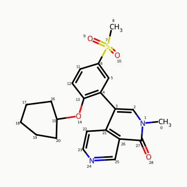 Cn1cc(-c2cc(S(C)(=O)=O)ccc2OC2CCCCC2)c2ccncc2c1=O